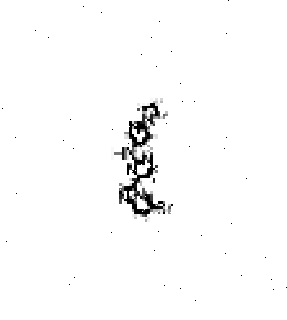 Brc1ccc2ncc(-c3ccnc(Nc4ccc(N5CCC5)nc4)n3)n2c1